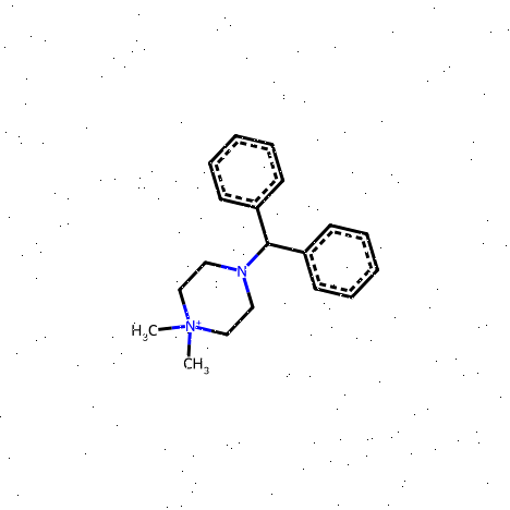 C[N+]1(C)CCN(C(c2ccccc2)c2ccccc2)CC1